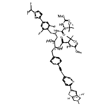 COC(=O)NC(C(=O)N[C@@H](Cc1ccc(C#Cc2ccc(N3C[C@H]4CN(C)C[C@H]4C3)nc2)cc1)[C@@H](O)CN(Cc1c(F)cc(-c2ccn(C(F)F)n2)cc1F)NC(=O)[C@@H](NC(=O)OC)C(C)(C)C(F)(F)F)C(C)(C)C(F)(F)F